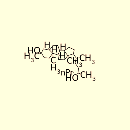 CCC[C@](C)(O)CC[C@@H](C)C1CC[C@H]2[C@@H]3CC[C@H]4C[C@@](C)(O)CC[C@]4(C)[C@H]3CC[C@]12C